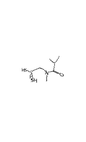 CC(C)C(=O)N(C)C[SH](S)S